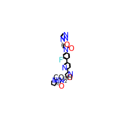 O=C(NC[C@@H]1CC(c2ccc(-c3ccc(N4C[C@H](Cn5ccnn5)OC4=O)cc3F)cn2)=NO1)[C@@H]1CCCN1C(=O)O